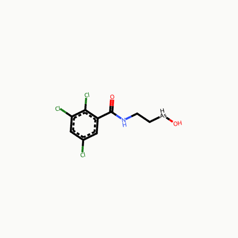 O=C(NCC[AsH]O)c1cc(Cl)cc(Cl)c1Cl